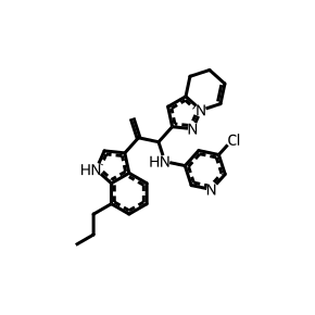 C=C(c1c[nH]c2c(CCC)cccc12)C(Nc1cncc(Cl)c1)c1cc2n(n1)C=CCC2